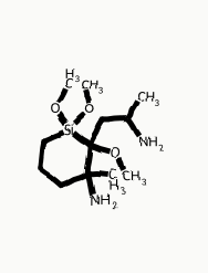 COC1(CC(C)N)C(C)(N)CCC[Si]1(OC)OC